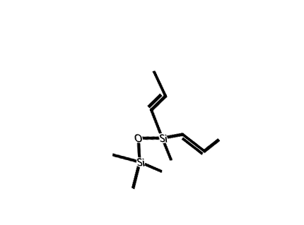 CC=C[Si](C)(C=CC)O[Si](C)(C)C